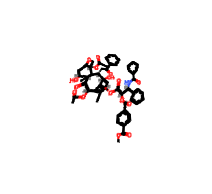 COC(=O)c1ccc(C(=O)O[C@@H](C(=O)O[C@H]2C[C@@]3(O)[C@@H](CC(=O)c4ccccc4)C4[C@]5(OC(C)=O)COC5C[C@H](O)[C@@]4(C)C(=O)[C@H](OC(C)=O)C(=C2C)C3(C)C)[C@@H](NC(=O)c2ccccc2)c2ccccc2)cc1